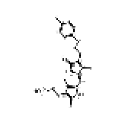 CC1=C(CCSc2ccc(C)cc2)C(=O)N/C1=C\c1[nH]c(C)c(CCC(=O)O)c1C